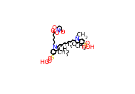 CCN1/C(=C/C=C/C=C/C=C/C2N(CCCCCC(=O)ON3C(=O)CCC3=O)c3ccc(SOOO)cc3C2(C)C)C(C)(C)c2cc(S(=O)(=O)O)ccc21